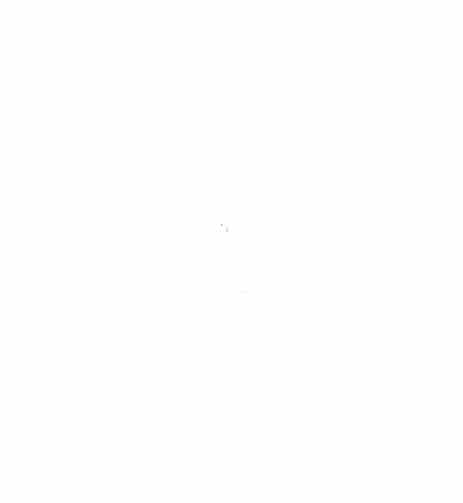 CCC(=CC(C)=O)NCC(C)C